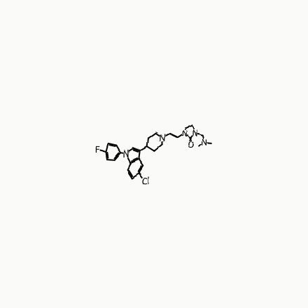 CN(C)CN1CCN(CCN2CCC(c3cn(-c4ccc(F)cc4)c4ccc(Cl)cc34)CC2)C1=O